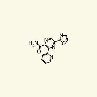 NC(=O)c1ncc(-c2ncco2)nc1-c1ccccn1